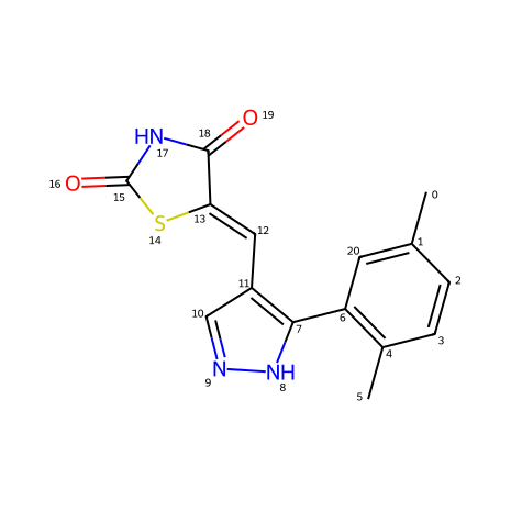 Cc1ccc(C)c(-c2[nH]ncc2C=C2SC(=O)NC2=O)c1